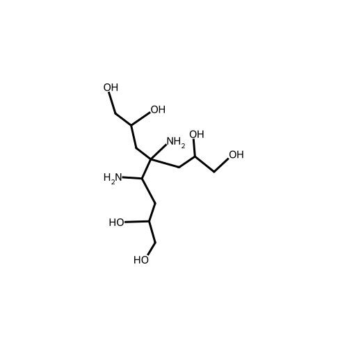 NC(CC(O)CO)C(N)(CC(O)CO)CC(O)CO